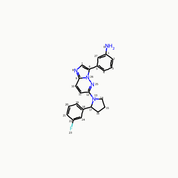 Nc1cccc(-c2cnc3ccc(N4CCCC4c4cccc(F)c4)nn23)c1